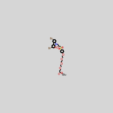 CC(C)(C)OC(=O)CCOCCOCCOCCOc1ccc(S(=O)(=O)CC(O)Cn2c3ccc(Br)cc3c3cc(Br)ccc32)cc1